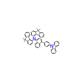 CC1(C)c2ccccc2-c2c(N(c3cccc4c3-c3ccccc3C4(C)C)c3ccc(-c4ccc(-n5c6ccccc6c6ccccc65)cc4)c4ccccc34)cccc21